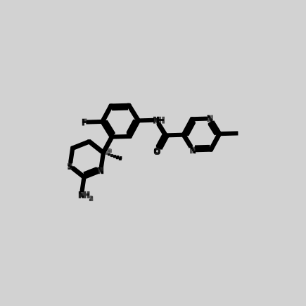 Cc1cnc(C(=O)Nc2ccc(F)c([C@]3(C)CCSC(N)=N3)c2)cn1